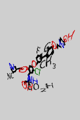 Cc1c(COc2cc(OCc3cncc(C#N)c3)c(CNC(CO)C(=O)O)cc2Cl)cccc1-c1cccc(OCCCN2CCC(O)C2)c1C(F)(F)F